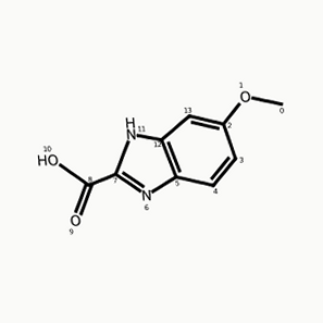 COc1ccc2nc(C(=O)O)[nH]c2c1